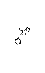 O=C(NCC1=CC[CH]C=C1)N1CCC1